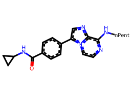 CCCCCNc1nccn2c(-c3ccc(C(=O)NC4CC4)cc3)cnc12